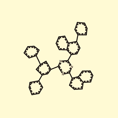 c1ccc(-c2cc(-c3ccccc3)cc(-c3nc(-c4cccc5ccccc45)nc(-c4ccc(-c5ccccc5)c5ccccc45)n3)c2)cc1